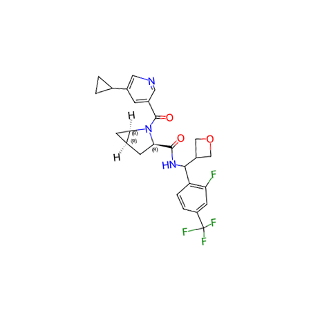 O=C(NC(c1ccc(C(F)(F)F)cc1F)C1COC1)[C@H]1C[C@H]2C[C@H]2N1C(=O)c1cncc(C2CC2)c1